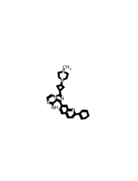 CN1CCN(C2CC(c3nc(-c4ccc5ccc(C6=CCCC=C6)nc5c4)c4c(N)nccn34)C2)CC1